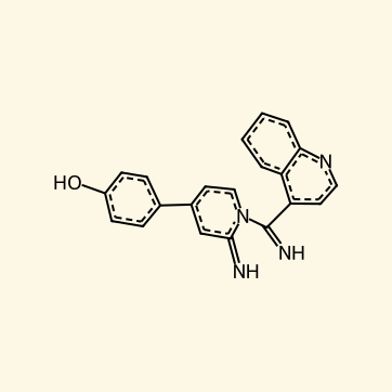 N=C(c1ccnc2ccccc12)n1ccc(-c2ccc(O)cc2)cc1=N